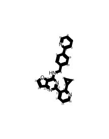 c1ccc(-c2ccc(CNc3nc(-c4cccnc4C4CC4)nc4ccoc34)cc2)nc1